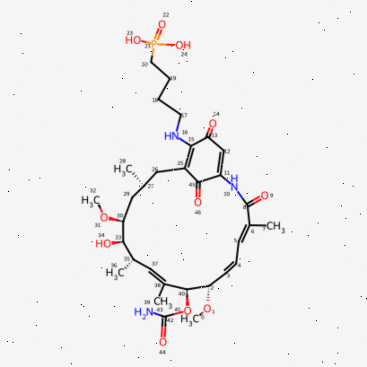 CO[C@H]1/C=C\C=C(/C)C(=O)NC2=CC(=O)C(NCCCCP(=O)(O)O)=C(C[C@@H](C)C[C@H](OC)[C@H](O)[C@@H](C)/C=C(\C)[C@@H]1OC(N)=O)C2=O